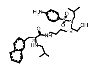 CC(C)CN[C@@H](Cc1ccc2ccccc2c1)C(=O)NCCCC[C@@H](CO)N(CC(C)C)S(=O)(=O)c1ccc(N)cc1